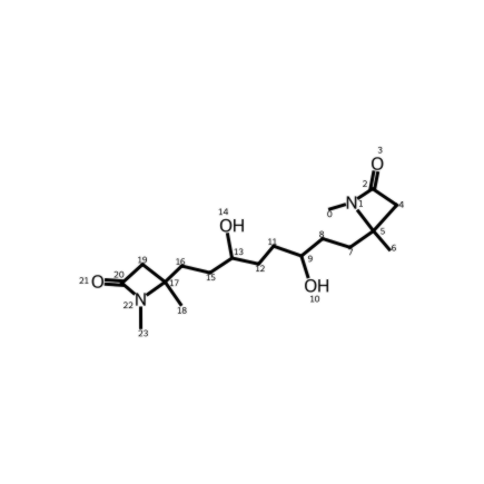 CN1C(=O)CC1(C)CCC(O)CCC(O)CCC1(C)CC(=O)N1C